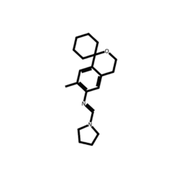 Cc1cc2c(cc1/N=C/N1CCCC1)CCOC21CCCCC1